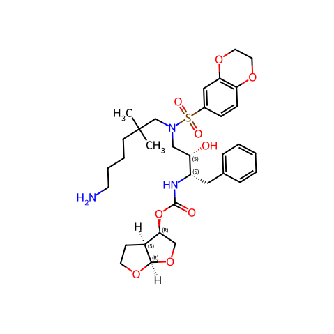 CC(C)(CCCCN)CN(C[C@H](O)[C@H](Cc1ccccc1)NC(=O)O[C@H]1CO[C@H]2OCC[C@H]21)S(=O)(=O)c1ccc2c(c1)OCCO2